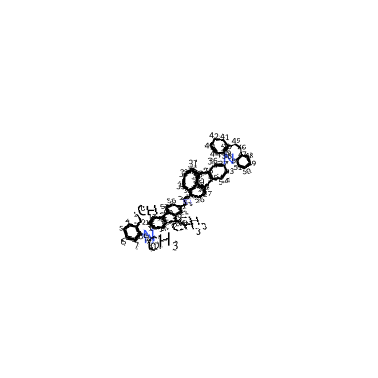 C=CCc1ccccc1N(C)c1ccc2c(c1)C(C)(C)c1cc(/C=C/c3ccc4c5c(cccc35)C3C=C(N5C6=C(CCC=C6)CCc6ccccc65)C=CC43)ccc1-2